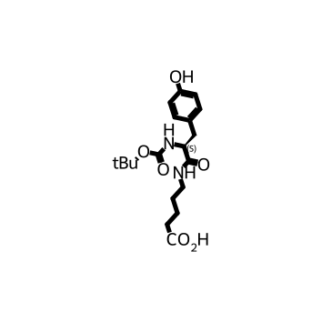 CC(C)(C)OC(=O)N[C@@H](Cc1ccc(O)cc1)C(=O)NCCCCC(=O)O